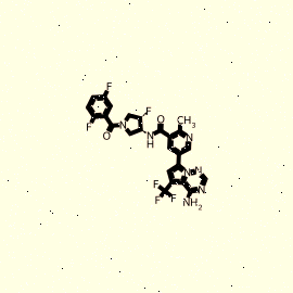 Cc1ncc(-c2cc(C(F)(F)F)c3c(N)ncnn23)cc1C(=O)N[C@@H]1CN(C(=O)c2cc(F)ccc2F)C[C@@H]1F